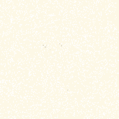 NCc1c(N2CCCCC2)ccc(C(F)(F)F)c1Cl